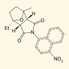 CC[C@]12CCC(C)(O1)[C@@H]1C(=O)N(c3ccc([N+](=O)[O-])c4ccccc34)C(=O)[C@@H]12